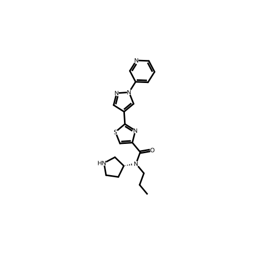 CCCN(C(=O)c1csc(-c2cnn(-c3cccnc3)c2)n1)[C@@H]1CCNC1